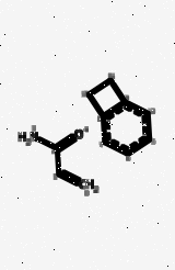 C=CC(N)=O.c1ccc2c(c1)CC2